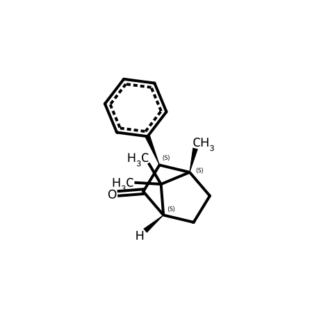 CC1(C)[C@@H]2CC[C@@]1(C)[C@H](c1ccccc1)C2=O